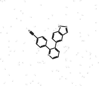 N#Cc1ccc(-c2ncccc2-c2ccc3[nH]ncc3c2)cc1